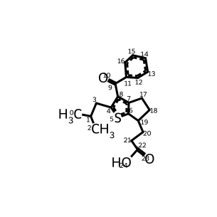 CC(C)Cc1sc2c(c1C(=O)c1ccccc1)CCC2CCC(=O)O